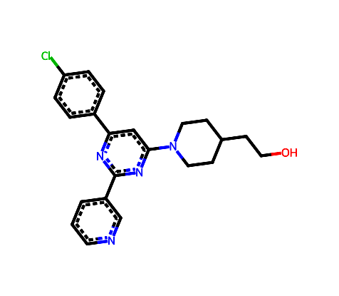 OCCC1CCN(c2cc(-c3ccc(Cl)cc3)nc(-c3cccnc3)n2)CC1